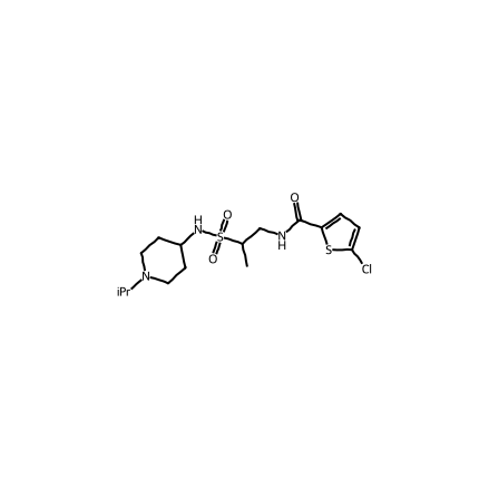 CC(C)N1CCC(NS(=O)(=O)C(C)CNC(=O)c2ccc(Cl)s2)CC1